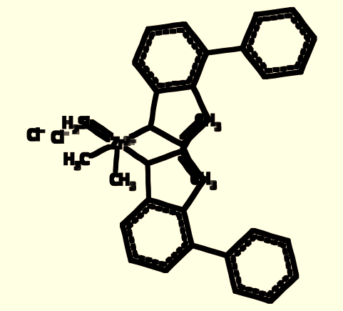 CC1=Cc2c(-c3ccccc3)cccc2[CH]1[Zr+2]([CH3])([CH3])(=[SiH2])[CH]1C(C)=Cc2c(-c3ccccc3)cccc21.[Cl-].[Cl-]